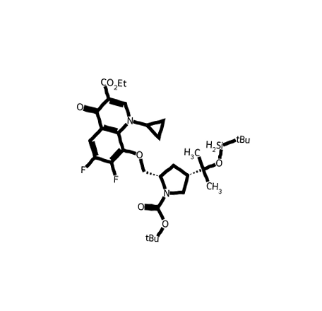 CCOC(=O)c1cn(C2CC2)c2c(OC[C@@H]3C[C@H](C(C)(C)O[SiH2]C(C)(C)C)CN3C(=O)OC(C)(C)C)c(F)c(F)cc2c1=O